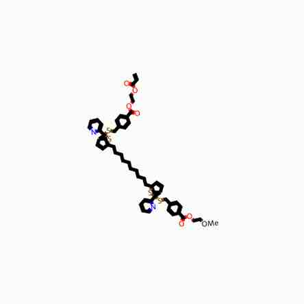 C=CC(=O)OCCOC(=O)c1ccc(CSC2(c3ccccn3)SC3(CCCCCCCCCCC45C=CC(C4)C(SCc4ccc(C(=O)OCCOC)cc4)(c4ccccn4)S5)C=CC2C3)cc1